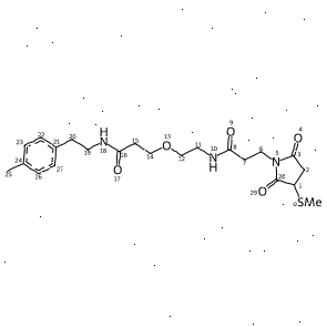 CSC1CC(=O)N(CCC(=O)NCCOCCC(=O)NCCc2ccc(C)cc2)C1=O